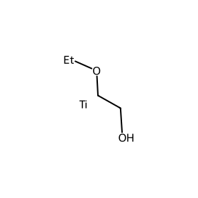 CCOCCO.[Ti]